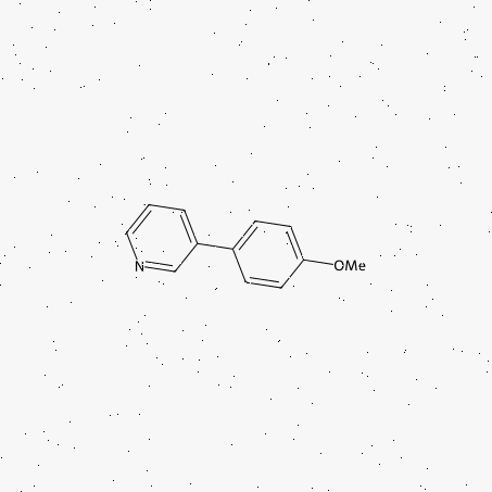 COc1ccc(-c2c[c]cnc2)cc1